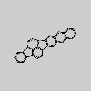 c1ccc2c(c1)-c1ccc3c4c(ccc-2c14)-c1cc2cc4ccccc4cc2cc1-3